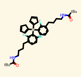 CC(C)(C)C(=O)NCCCCc1ccc(F)[c]([Ti]([C]2=CC=CC2)([C]2=CC=CC2)[c]2c(F)ccc(CCCCNC(=O)C(C)(C)C)c2F)c1F